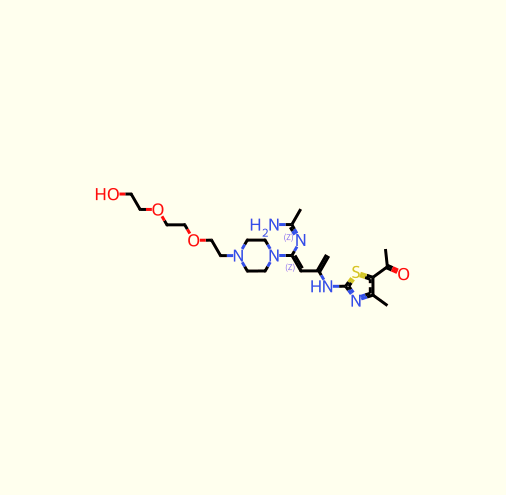 C=C(/C=C(\N=C(\C)N)N1CCN(CCOCCOCCO)CC1)Nc1nc(C)c(C(C)=O)s1